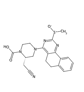 C[S+]([O-])c1nc2c(c(N3CCN(C(=O)O)[C@@H](CC#N)C3)n1)CCc1ccccc1-2